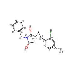 O=C1C[C@@]2(C[C@H]2c2ccc(C(F)(F)F)cc2F)C(=O)N1Cc1ccccc1